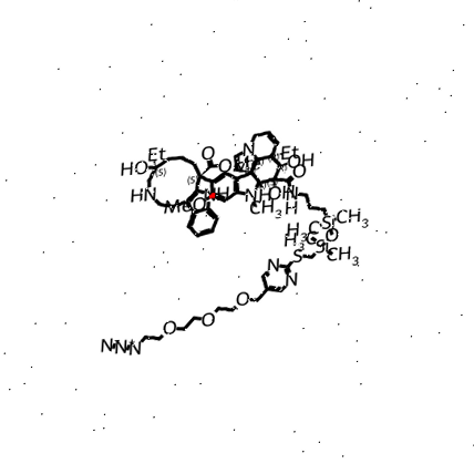 CC[C@]1(O)CCC[C@](C(=O)OC)(c2cc3c(cc2OC)N(C)[C@H]2[C@@](O)(C(=O)NCCC[Si](C)(C)O[Si](C)(C)CSc4ncc(COCCOCCOCCN=[N+]=[N-])cn4)[C@H](O)[C@]4(CC)C=CCN5CC[C@]32[C@@H]54)c2[nH]c3ccccc3c2CCNC1